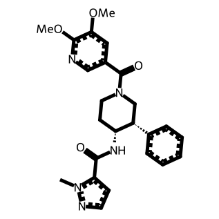 COc1cc(C(=O)N2CC[C@@H](NC(=O)c3ccnn3C)[C@@H](c3ccccc3)C2)cnc1OC